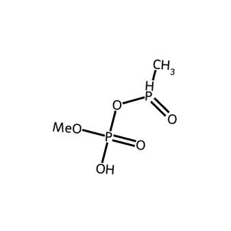 COP(=O)(O)O[PH](C)=O